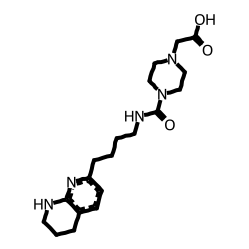 O=C(O)CN1CCN(C(=O)NCCCCc2ccc3c(n2)NCCC3)CC1